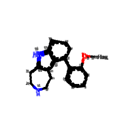 CCCCCCOc1ccccc1-c1cccc2[nH]c3c(c12)CCNCC3